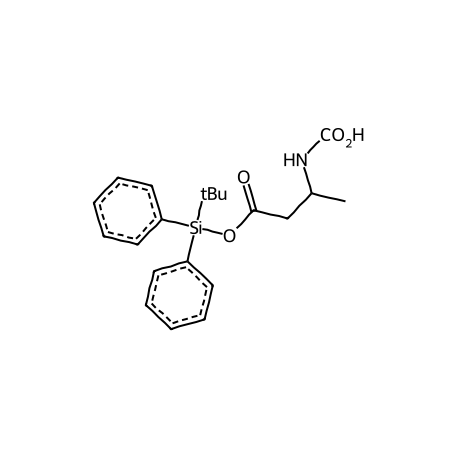 CC(CC(=O)O[Si](c1ccccc1)(c1ccccc1)C(C)(C)C)NC(=O)O